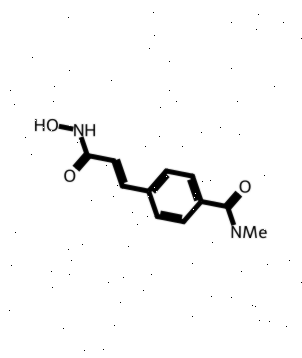 CNC(=O)c1ccc(/C=C/C(=O)NO)cc1